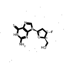 Nc1nc2c(ncn2[C@H]2C[C@H](F)[C@@H](CO)O2)c(=S)[nH]1